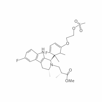 COC(=O)[C@H](C)CN1[C@H](C)Cc2c([nH]c3ccc(F)cc23)[C@H]1C1(C)C(F)=CC=C(OCCOS(C)(=O)=O)C1C